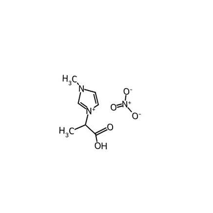 CC(C(=O)O)[n+]1ccn(C)c1.O=[N+]([O-])[O-]